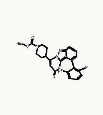 CC(C)(C)OC(=O)N1CCC(c2cc(=O)[nH]c3c4c(-c5c(F)cccc5F)cccc4nn23)CC1